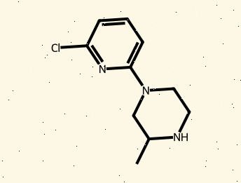 CC1CN(c2cccc(Cl)n2)CCN1